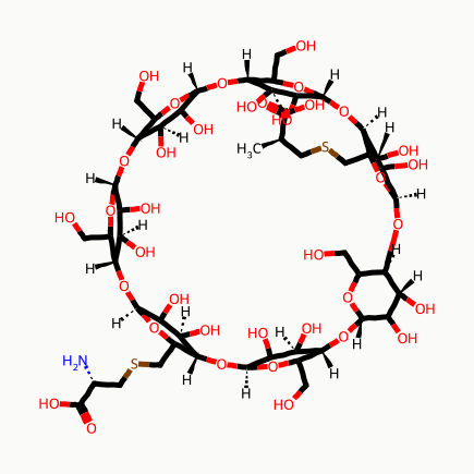 C[C@H](CSCC1O[C@@H]2O[C@@H]3C(CO)O[C@@H](O[C@@H]4C(CO)O[C@@H](O[C@@H]5C(CSC[C@@H](N)C(=O)O)O[C@@H](O[C@@H]6C(CO)O[C@H](O[C@@H]7C(CO)O[C@H](O[C@@H]8C(CO)O[C@H](O[C@H]1[C@H](O)C2O)C(O)[C@H]8O)C(O)[C@H]7O)C(O)[C@H]6O)C(O)[C@H]5O)C(O)[C@H]4O)C(O)[C@H]3O)C(=O)O